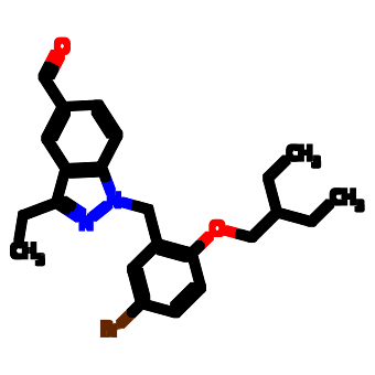 CCc1nn(Cc2cc(Br)ccc2OCC(CC)CC)c2ccc(C=O)cc12